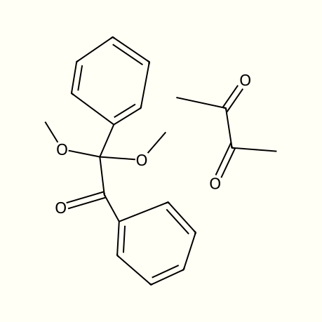 CC(=O)C(C)=O.COC(OC)(C(=O)c1ccccc1)c1ccccc1